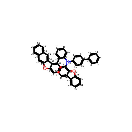 c1ccc(-c2ccc(N(c3ccccc3-c3cccc4oc5cc6ccccc6cc5c34)c3cccc4c3oc3ccccc34)cc2)cc1